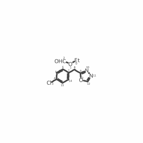 CCOC=O.Clc1ccc(Cc2nnco2)cc1